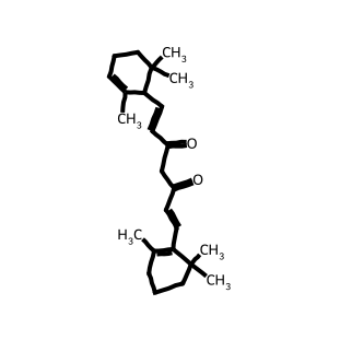 CC1=CCCC(C)(C)C1C=CC(=O)CC(=O)C=CC1=C(C)CCCC1(C)C